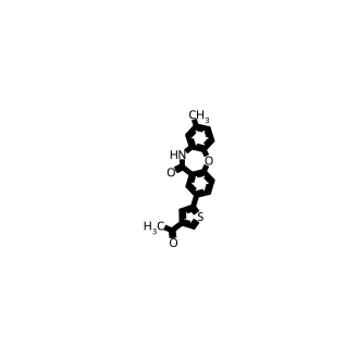 CC(=O)c1csc(-c2ccc3c(c2)C(=O)Nc2cc(C)ccc2O3)c1